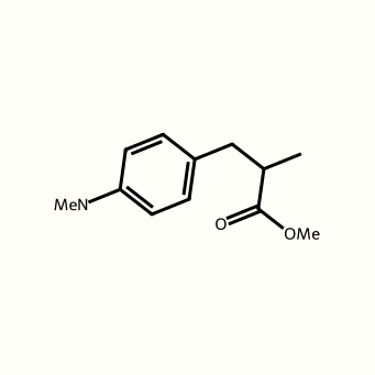 CNc1ccc(CC(C)C(=O)OC)cc1